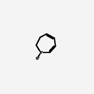 [O-][S+]1C=CC=CCC1